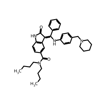 CCCCN(CCCC)C(=O)c1ccc2c(c1)C(=C(Nc1ccc(CN3CCCCC3)cc1)c1ccccc1)C(=O)N2